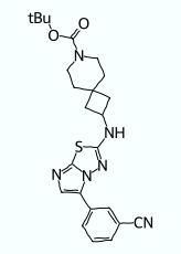 CC(C)(C)OC(=O)N1CCC2(CC1)CC(Nc1nn3c(-c4cccc(C#N)c4)cnc3s1)C2